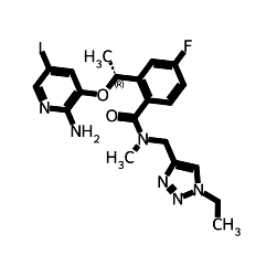 CCn1cc(CN(C)C(=O)c2ccc(F)cc2[C@@H](C)Oc2cc(I)cnc2N)nn1